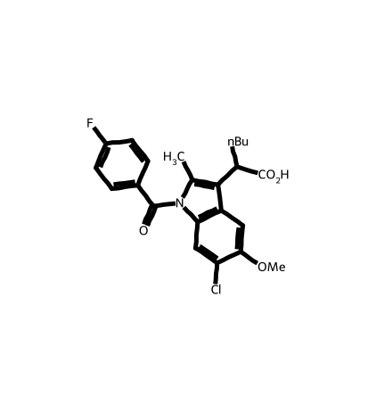 CCCCC(C(=O)O)c1c(C)n(C(=O)c2ccc(F)cc2)c2cc(Cl)c(OC)cc12